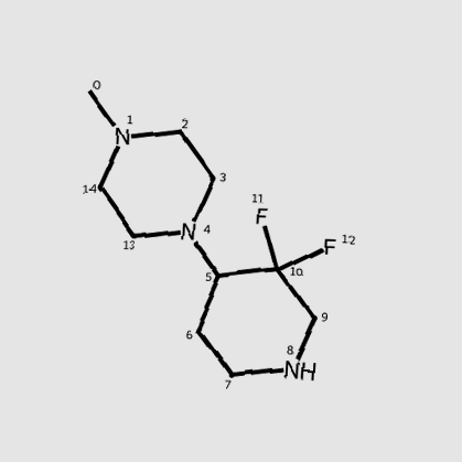 CN1CCN(C2CCNCC2(F)F)CC1